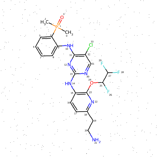 CP(C)(=O)c1ccccc1Nc1nc(Nc2ccc(CCN)nc2OC(F)C(F)F)ncc1Cl